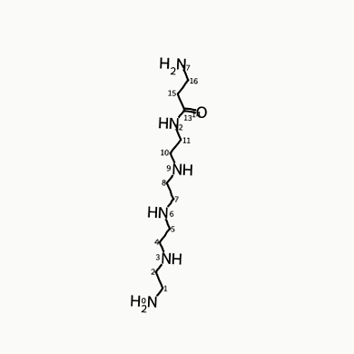 NCCNCCNCCNCCNC(=O)CCN